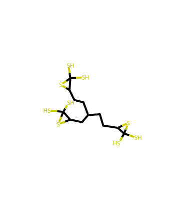 SC1(S)SC1CCC(CCC1SC1(S)S)CC1SC1(S)S